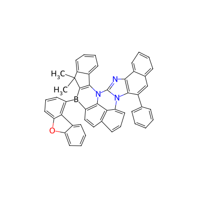 CC1(C)C2=C(c3ccccc31)n1c3c(ccc4cccc(c43)n3c4c(-c5ccccc5)cc5ccccc5c4nc13)B2c1cccc2oc3ccccc3c12